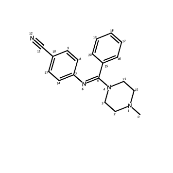 CN1CCN(C(=Nc2ccc(C#N)cc2)c2ccccc2)CC1